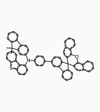 CC1(C)c2ccccc2-c2ccc(N(c3ccc(-c4ccc5c(c4)-c4ccccc4C54c5ccc6ccccc6c5Oc5c4ccc4ccccc54)cc3)c3cccc4sc5ccccc5c34)cc21